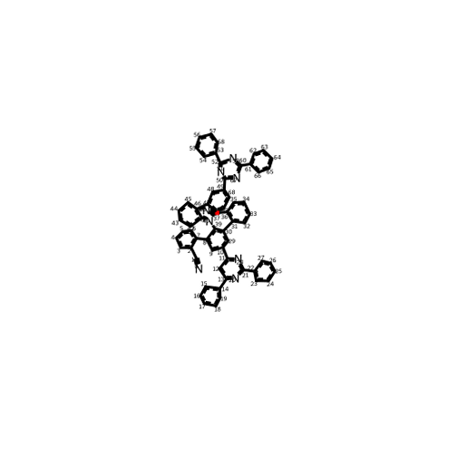 N#Cc1ccccc1-c1cc(-c2cc(-c3ccccc3)nc(-c3ccccc3)n2)cc(-c2ccccc2C#N)c1-n1c2ccccc2c2cc(-c3nc(-c4ccccc4)nc(-c4ccccc4)n3)ccc21